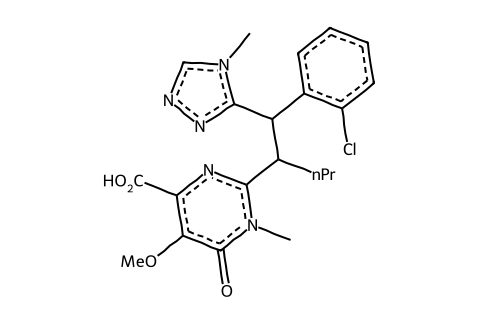 CCCC(c1nc(C(=O)O)c(OC)c(=O)n1C)C(c1ccccc1Cl)c1nncn1C